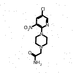 NC(=O)CN1CCN(c2ncc(Cl)cc2[N+](=O)[O-])CC1